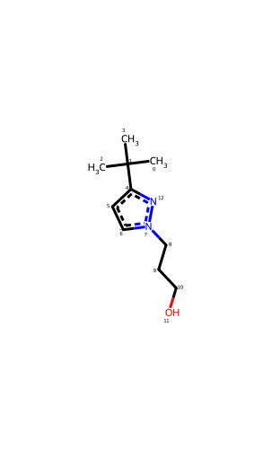 CC(C)(C)c1c[c]n(CCCO)n1